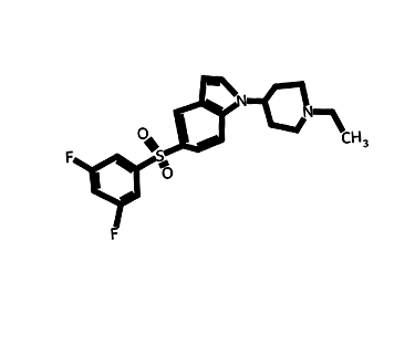 CCN1CCC(n2ccc3cc(S(=O)(=O)c4cc(F)cc(F)c4)ccc32)CC1